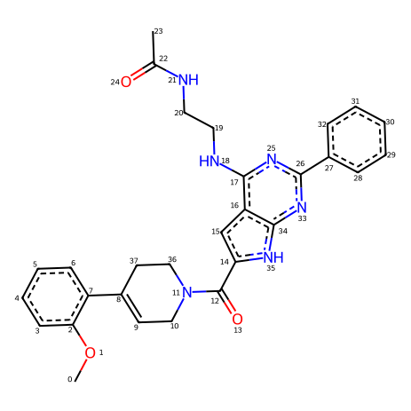 COc1ccccc1C1=CCN(C(=O)c2cc3c(NCCNC(C)=O)nc(-c4ccccc4)nc3[nH]2)CC1